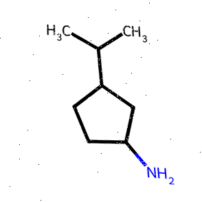 CC(C)C1CCC(N)C1